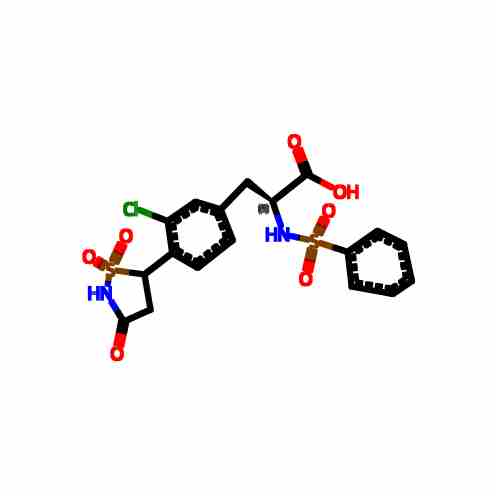 O=C1CC(c2ccc(C[C@H](NS(=O)(=O)c3ccccc3)C(=O)O)cc2Cl)S(=O)(=O)N1